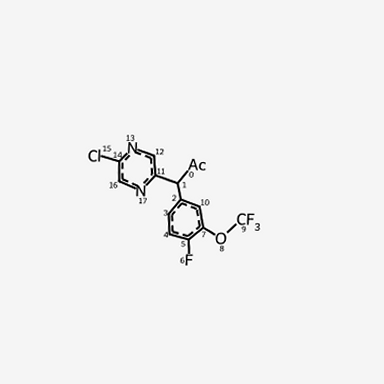 CC(=O)C(c1ccc(F)c(OC(F)(F)F)c1)c1cnc(Cl)cn1